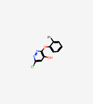 CC(C)c1ccccc1Oc1nnc(Cl)cc1O